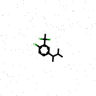 CC(C)C(C)c1ccc(Cl)c(C(C)(F)F)c1